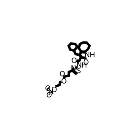 O=C(CCc1csc(NC(=O)c2c(CC3CCCCC3)c3c([nH]c2=O)CCCCCC3)n1)OCCCO[N+](=O)[O-]